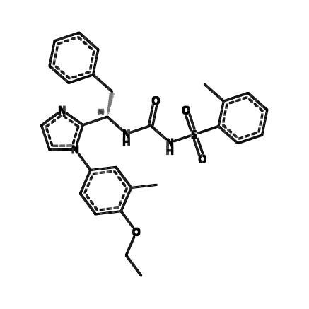 CCOc1ccc(-n2ccnc2[C@H](Cc2ccccc2)NC(=O)NS(=O)(=O)c2ccccc2C)cc1C